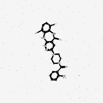 O=C1Nc2c(F)ccc(F)c2Nc2nnc(N3CCN(C(=O)c4ccccc4C(F)(F)F)CC3)cc21